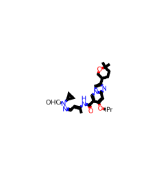 C/C(=C\C=N/N(C=O)C1CC1)NC(=O)c1cn2cc(C3CCC(C)(C)OC3)nc2cc1OC(C)C